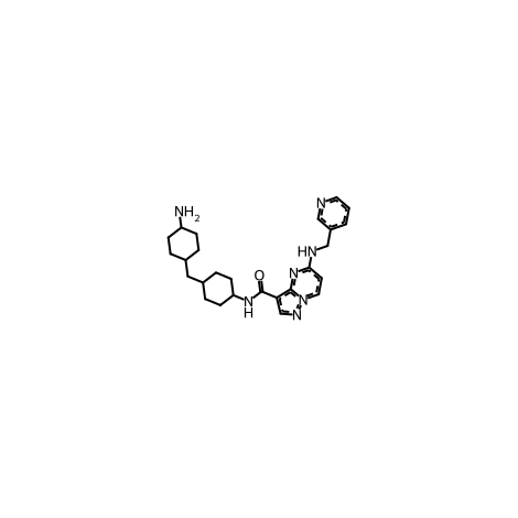 NC1CCC(CC2CCC(NC(=O)c3cnn4ccc(NCc5cccnc5)nc34)CC2)CC1